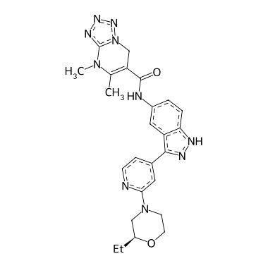 CC[C@H]1CN(c2cc(-c3n[nH]c4ccc(NC(=O)C5=C(C)N(C)c6nnnn6C5)cc34)ccn2)CCO1